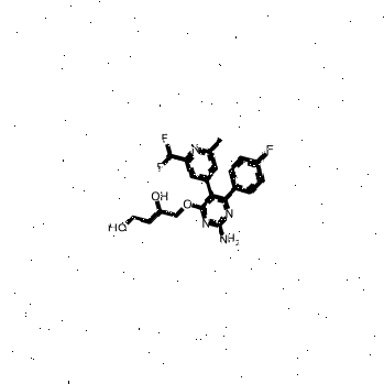 Cc1cc(-c2c(OCC(O)CCO)nc(N)nc2-c2ccc(F)cc2)cc(C(F)F)n1